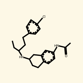 CCC(CCc1ccc(Cl)cc1)NC1CCc2ccc(NC(C)=O)cc2C1